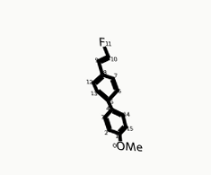 COc1ccc(-c2ccc(C=CF)cc2)cc1